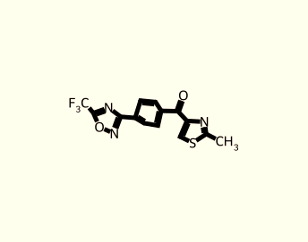 Cc1nc(C(=O)c2ccc(-c3noc(C(F)(F)F)n3)cc2)cs1